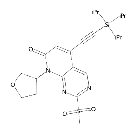 CC(C)[Si](C#Cc1cc(=O)n(C2CCOC2)c2nc(S(C)(=O)=O)ncc12)(C(C)C)C(C)C